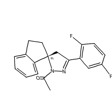 CC(=O)N1N=C(c2cc(F)ccc2F)C[C@@]12CCc1ccccc12